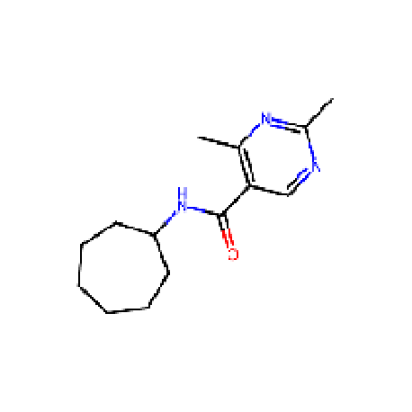 Cc1ncc(C(=O)NC2CCCCCC2)c(C)n1